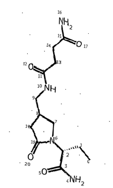 CC[C@H](C(N)=O)N1CC(CNC(=O)CCC(N)=O)CC1=O